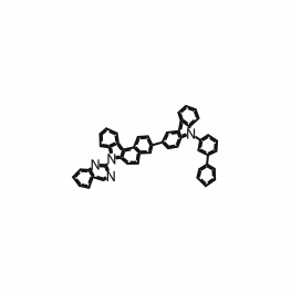 c1ccc(-c2cccc(-n3c4ccccc4c4cc(-c5ccc6c(ccc7c6c6ccccc6n7-c6ncc7ccccc7n6)c5)ccc43)c2)cc1